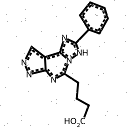 O=C(O)CCCc1nc2nncc-2c2nc(-c3ccccc3)[nH]n12